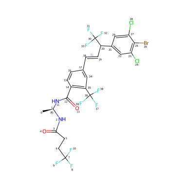 C[C@H](NC(=O)CCC(F)(F)F)NC(=O)c1ccc(/C=C/C(c2cc(Cl)c(Br)c(Cl)c2)C(F)(F)F)cc1C(F)(F)F